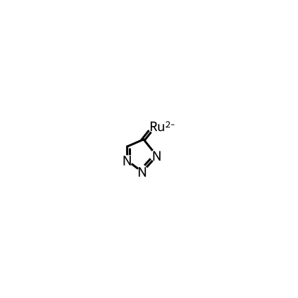 [Ru-2]=[C]1C=NN=N1